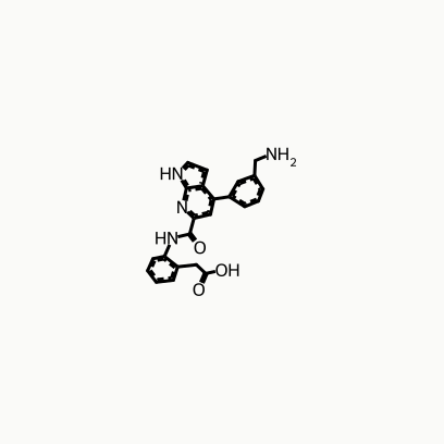 NCc1cccc(-c2cc(C(=O)Nc3ccccc3CC(=O)O)nc3[nH]ccc23)c1